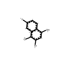 CCc1cc(O)c2ccc(F)cc2c1Cl